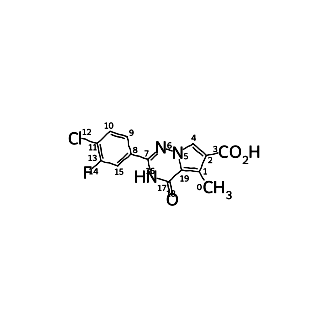 Cc1c(C(=O)O)cn2nc(-c3ccc(Cl)c(F)c3)[nH]c(=O)c12